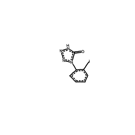 O=c1[nH]nnn1-c1ccccc1I